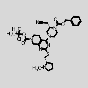 CN1CCC[C@H]1CSc1nc2c(c(N3CCN(C(=O)OCc4ccccc4)[C@@H](CC#N)C3)n1)CCN(C(=O)OC(C)(C)C)C2